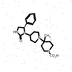 CC1(N2CCC(N3C(=O)NC[C@H]3c3ccccc3)CC2)CCN(C(=O)O)CC1